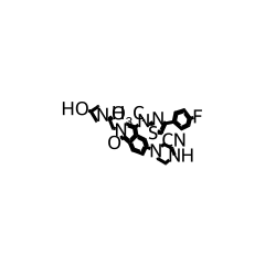 CN(c1nc(-c2ccc(F)cc2)c(C#N)s1)c1cn(CC(=O)N2CC(O)C2)c(=O)c2ccc(N3CCNCC3)cc12